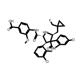 COc1cc(C(=O)O)ccc1NC(=O)[C@@H]1N[C@@H](CC2(CF)CC2)C2(C(=O)Nc3cc(Cl)ccc32)[C@H]1c1cccc(Cl)c1F